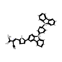 N#C/C(=C\c1ccc(-c2ccc3c(c2)c2ccccc2n3-c2ccc(-n3c4ccccc4c4ccccc43)cc2)s1)C(=O)O